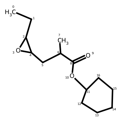 CCC1OC1CC(C)C(=O)OC1CCCCC1